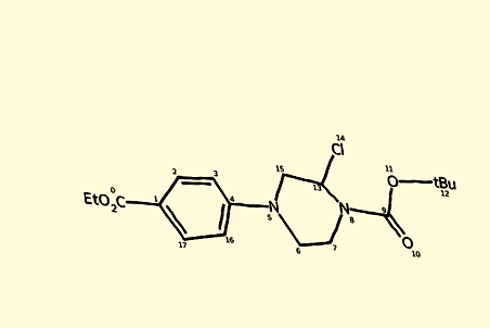 CCOC(=O)c1ccc(N2CCN(C(=O)OC(C)(C)C)C(Cl)C2)cc1